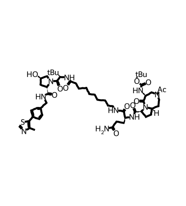 CC(=O)N1CC[C@H]2CC[C@@H](C(=O)N[C@@H](CCC(N)=O)C(=O)NCCCCCCCCCC(=O)N[C@H](C(=O)N3C[C@H](O)C[C@H]3C(=O)NCc3ccc(-c4scnc4C)cc3)C(C)(C)C)N2C(=O)[C@@H](NC(=O)OC(C)(C)C)C1